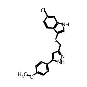 COc1ccc(-c2cc(CSc3c[nH]c4cc(Cl)ccc34)n[nH]2)cc1